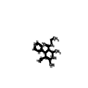 CCOC(=O)C1C(C)NC(O)=C(C#N)C1c1ccncc1